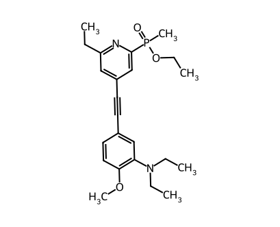 CCOP(C)(=O)c1cc(C#Cc2ccc(OC)c(N(CC)CC)c2)cc(CC)n1